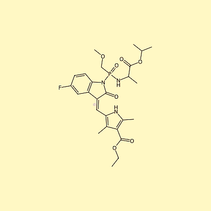 CCOC(=O)c1c(C)[nH]c(/C=C2\C(=O)N(P(=O)(COC)NC(C)C(=O)OC(C)C)c3ccc(F)cc32)c1C